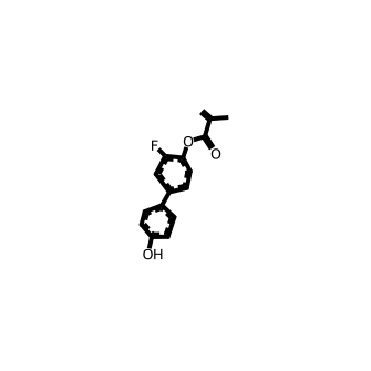 C=C(C)C(=O)Oc1ccc(-c2ccc(O)cc2)cc1F